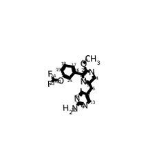 COc1ncc(Cc2cnc(N)nc2)nc1-c1cccc(OC(F)F)c1